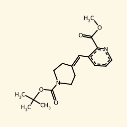 COC(=O)c1ncccc1C=C1CCN(C(=O)OC(C)(C)C)CC1